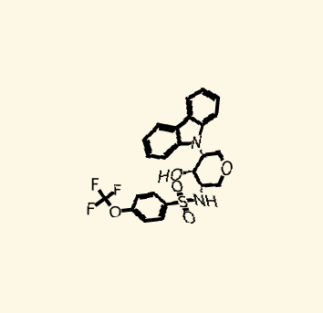 O=S(=O)(N[C@H]1COC[C@@H](n2c3ccccc3c3ccccc32)[C@@H]1O)c1ccc(OC(F)(F)F)cc1